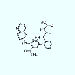 C[C@H](NC(=O)O)[C@@H](Nc1nc(Nc2ccc3ncccc3c2)c(C(N)=O)cc1F)c1ccccc1